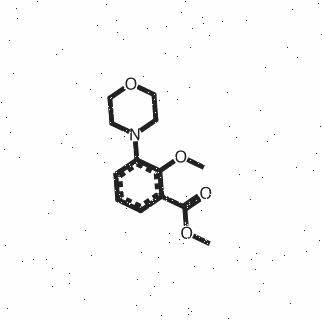 COC(=O)c1cccc(N2CCOCC2)c1OC